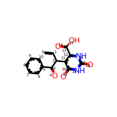 C=CC(C(=O)c1ccccc1)c1c(C(=O)O)[nH]c(=O)[nH]c1=O